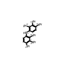 CC(C)c1ccc(Bc2ccc(C(C)C)c(C(C)C)c2C(C)C)c(C(C)C)c1C(C)C